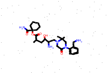 CC(CC(O)C(N)CN1CC(=O)N(c2ccccc2CN)CC1(C)C)C(=O)OC1(C(N)=O)CCCCC1